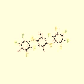 Cc1cc(Sc2c(F)c(F)c(F)c(F)c2F)c(C)cc1Sc1c(F)c(F)c(C)c(F)c1F